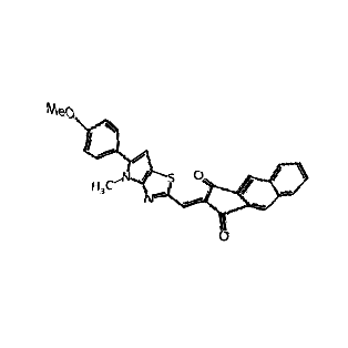 COc1ccc(-c2cc3sc(C=C4C(=O)c5cc6ccccc6cc5C4=O)nc3n2C)cc1